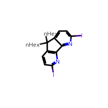 CCCCCCC1(CCCCCC)c2ccc(I)nc2-c2nc(I)ccc21